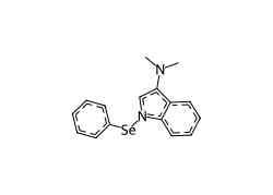 CN(C)c1cn([Se]c2ccccc2)c2ccccc12